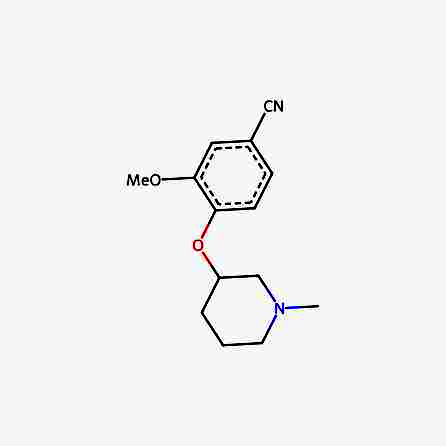 COc1cc(C#N)ccc1OC1CCCN(C)C1